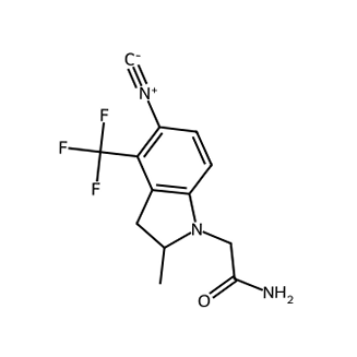 [C-]#[N+]c1ccc2c(c1C(F)(F)F)CC(C)N2CC(N)=O